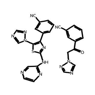 N#Cc1cccc(-c2nc(Nc3cnccn3)sc2-n2cncn2)c1.N#Cc1cccc(C(=O)Cn2cncn2)c1